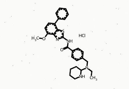 CCN(Cc1ccc(C(=O)Nc2nc3c(OC)ccc(-c4ccccc4)c3s2)cc1)C1CCCCN1.Cl